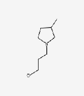 CC1CCN(CCCCl)C1